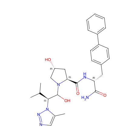 Cc1cnnn1[C@@H](C(C)C)C(O)N1C[C@H](O)C[C@H]1C(=O)N[C@H](Cc1ccc(-c2ccccc2)cc1)C(N)=O